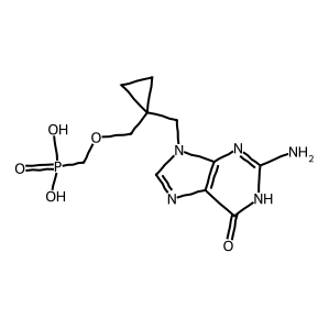 Nc1nc2c(ncn2CC2(COCP(=O)(O)O)CC2)c(=O)[nH]1